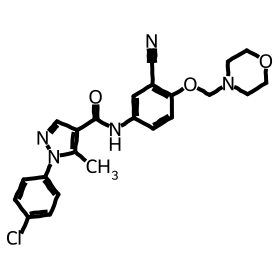 Cc1c(C(=O)Nc2ccc(OCN3CCOCC3)c(C#N)c2)cnn1-c1ccc(Cl)cc1